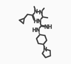 C=C(CC1CC1)N(C)N(C)C(C)NC(=N)N[C@H]1CC[C@H](N2CCCC2)CC1